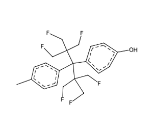 Cc1ccc(C(c2ccc(O)cc2)(C(CF)(CF)CF)C(CF)(CF)CF)cc1